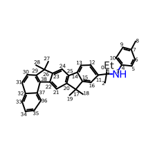 CCC(C)(Nc1ccc(C)cc1)c1ccc2c(c1)C(C)(C)c1cc3c(cc1-2)C(C)(C)c1ccc2ccccc2c1-3